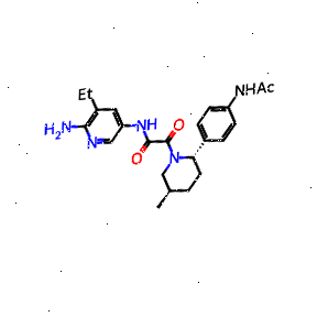 CCc1cc(NC(=O)C(=O)N2C[C@H](C)CC[C@H]2c2ccc(NC(C)=O)cc2)cnc1N